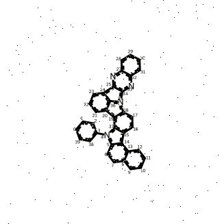 c1ccc(-n2c3ccc4ccccc4c3c3ccc4c(c5cccc6c7nc8ccccc8nc7n4c65)c32)cc1